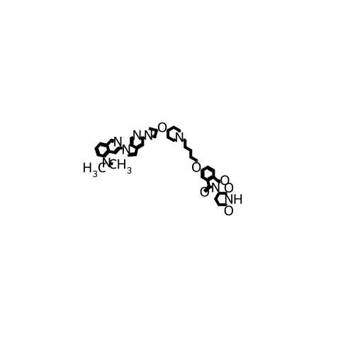 CN(C)c1cccc2cnc(-n3ccc4cc(N5CC(OC6CCN(CCCCCOc7ccc8c(c7)C(=O)N(C7CCC(=O)NC7=O)C8=O)CC6)C5)ncc43)cc12